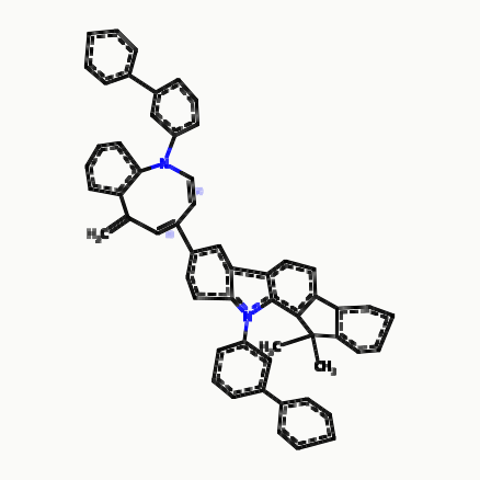 C=C1/C=C(c2ccc3c(c2)c2ccc4c(c2n3-c2cccc(-c3ccccc3)c2)C(C)(C)c2ccccc2-4)\C=C/N(c2cccc(-c3ccccc3)c2)c2ccccc21